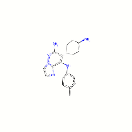 Cc1ccc(Nc2c3nccn3nc(N)c2[C@H]2CC[C@H](N)CC2)cc1